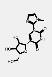 Cn1ccnc1-n1cc([C@@H]2O[C@H](CO)C(O)C2O)c(=O)[nH]c1=O